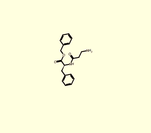 NCCC(=O)N[C@@H](Cc1ccccc1)C(=O)OCc1ccccc1